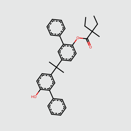 CCC(C)(CC)C(=O)Oc1ccc(C(C)(C)c2ccc(O)c(-c3ccccc3)c2)cc1-c1ccccc1